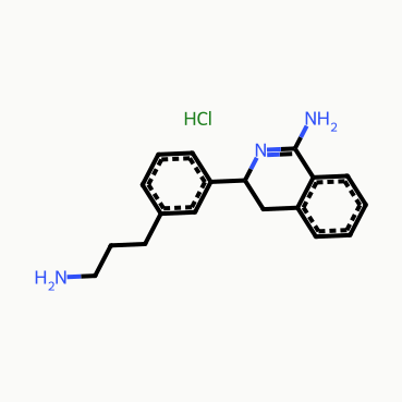 Cl.NCCCc1cccc(C2Cc3ccccc3C(N)=N2)c1